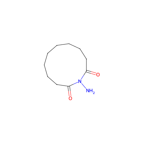 NN1C(=O)CCCCCCCCC1=O